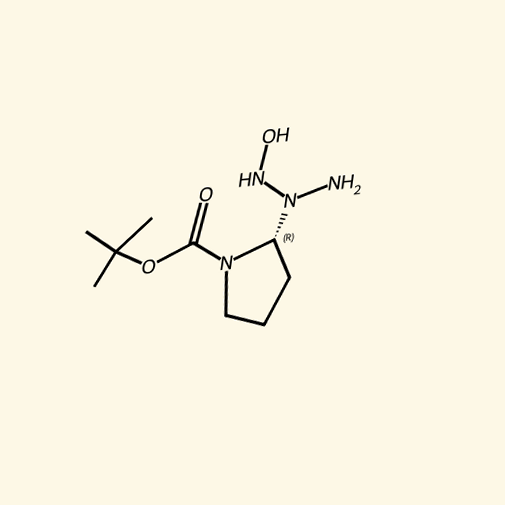 CC(C)(C)OC(=O)N1CCC[C@H]1N(N)NO